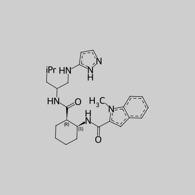 CC(C)CC(CNc1ccn[nH]1)NC(=O)[C@@H]1CCCC[C@@H]1NC(=O)c1cc2ccccc2n1C